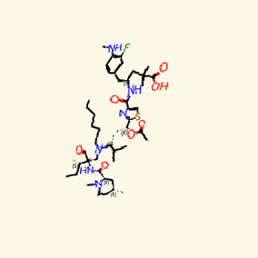 CCCCCCN(C[C@@](C=O)(NC(=O)[C@H]1C[C@H](C)CCN1C)[C@@H](C)CC)[C@H](C[C@@H](OC(C)=O)c1nc(C(=O)N[C@@H](Cc2ccc(NC)c(F)c2)CC(C)(C)C(=O)O)cs1)C(C)C